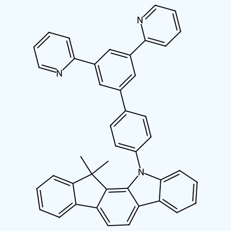 CC1(C)c2ccccc2-c2ccc3c4ccccc4n(-c4ccc(-c5cc(-c6ccccn6)cc(-c6ccccn6)c5)cc4)c3c21